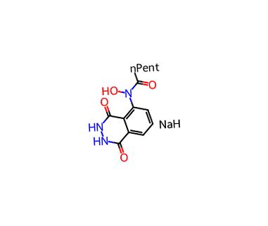 CCCCCC(=O)N(O)c1cccc2c(=O)[nH][nH]c(=O)c12.[NaH]